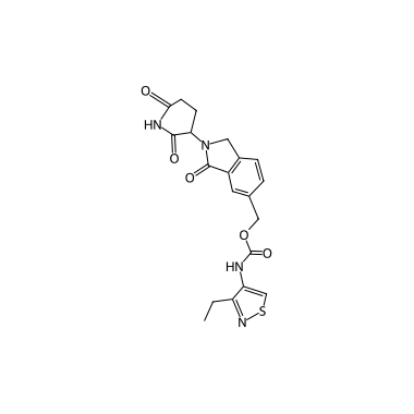 CCc1nscc1NC(=O)OCc1ccc2c(c1)C(=O)N(C1CCC(=O)NC1=O)C2